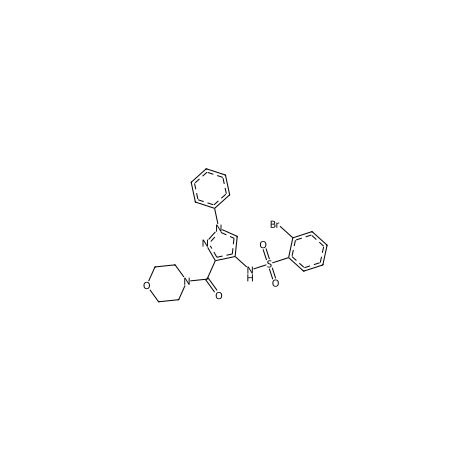 O=C(c1nn(-c2ccccc2)cc1NS(=O)(=O)c1ccccc1Br)N1CCOCC1